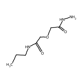 CCCNC(=O)COCC(=O)NN